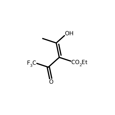 CCOC(=O)/C(C(=O)C(F)(F)F)=C(/C)O